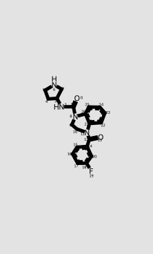 O=C(NC1CCNC1)N1CCN(C(=O)c2cccc(F)c2)c2ccccc21